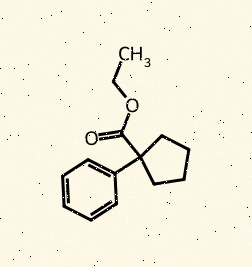 CCOC(=O)C1(c2ccccc2)CCCC1